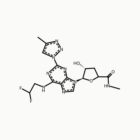 CNC(=O)C1C[C@@H](O)[C@H](n2cnc3c(NCC(F)F)nc(-n4cc(C)nn4)nc32)O1